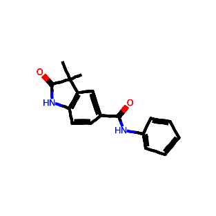 CC1(C)C(=O)Nc2ccc(C(=O)Nc3ccccc3)cc21